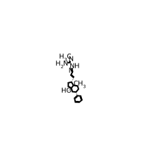 C/N=C(\N)N/N=C/C=C/[C@H]1CC[C@]2(O)C[C@@H](c3ccccc3)CC[C@]12C